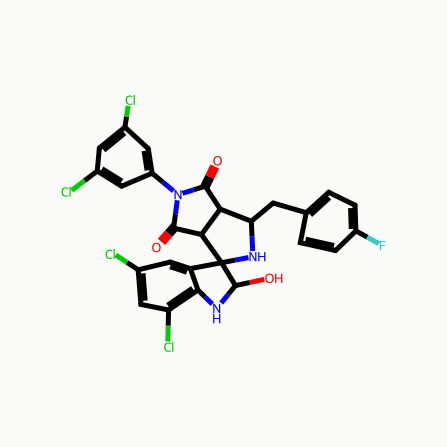 O=C1C2C(Cc3ccc(F)cc3)NC3(c4cc(Cl)cc(Cl)c4NC3O)C2C(=O)N1c1cc(Cl)cc(Cl)c1